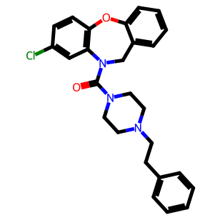 O=C(N1CCN(CCc2ccccc2)CC1)N1Cc2ccccc2Oc2ccc(Cl)cc21